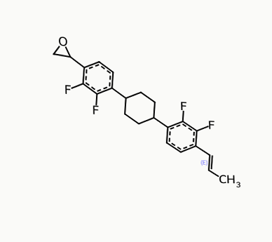 C/C=C/c1ccc(C2CCC(c3ccc(C4CO4)c(F)c3F)CC2)c(F)c1F